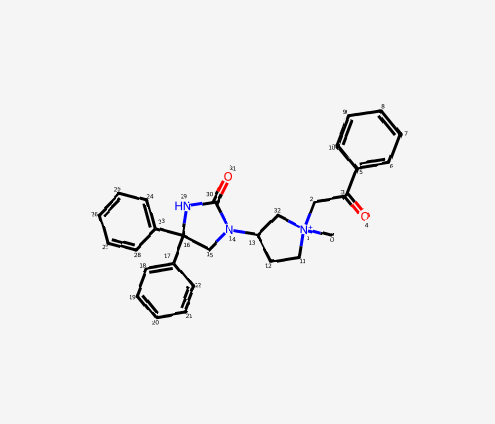 C[N+]1(CC(=O)c2ccccc2)CCC(N2CC(c3ccccc3)(c3ccccc3)NC2=O)C1